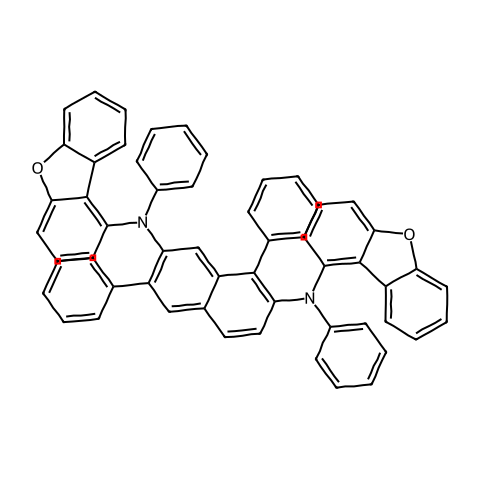 c1ccc(-c2cc3ccc(N(c4ccccc4)c4cccc5oc6ccccc6c45)c(-c4ccccc4)c3cc2N(c2ccccc2)c2cccc3oc4ccccc4c23)cc1